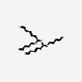 CCCCCOC(CC=CCC=O)OC(CC=CCC=O)OCCCCC